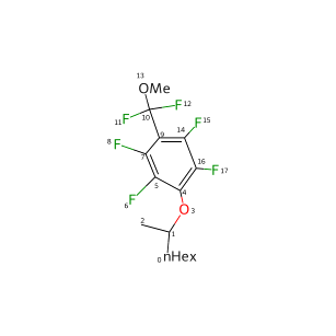 CCCCCCC(C)Oc1c(F)c(F)c(C(F)(F)OC)c(F)c1F